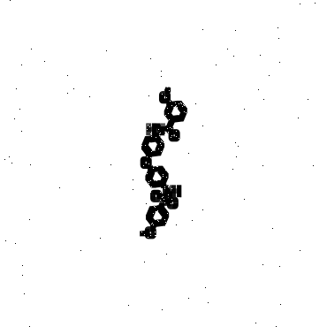 COc1ccc(S(=O)(=O)Nc2ccc(Oc3ccc(NC(=O)c4cccc(OC)c4)cc3)cc2)cc1